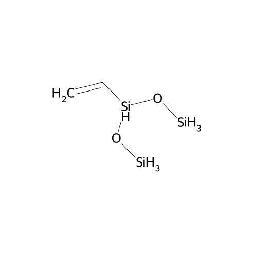 C=C[SiH](O[SiH3])O[SiH3]